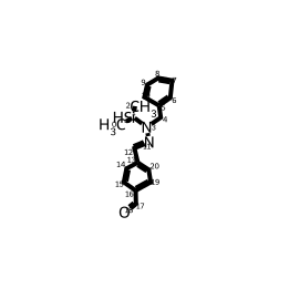 C[SiH](C)N(Cc1ccccc1)N=Cc1ccc(C=O)cc1